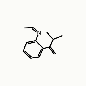 C=C(c1ccccc1/N=C\C)C(C)C